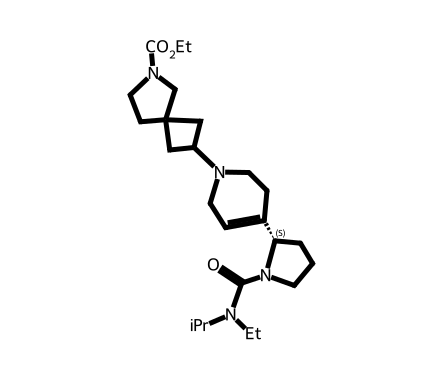 CCOC(=O)N1CCC2(CC(N3CC=C([C@@H]4CCCN4C(=O)N(CC)C(C)C)CC3)C2)C1